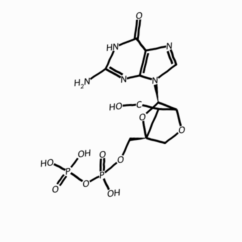 Nc1nc2c(ncn2[C@@H]2O[C@@]3(COP(=O)(O)OP(=O)(O)O)COC2C3CO)c(=O)[nH]1